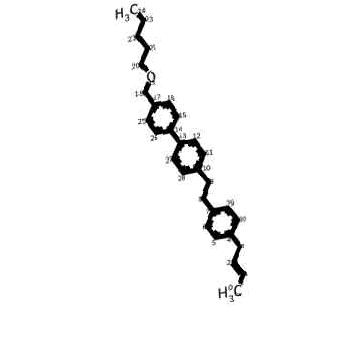 CC=CCc1ccc(CCc2ccc(-c3ccc(COCCCCC)cc3)cc2)cc1